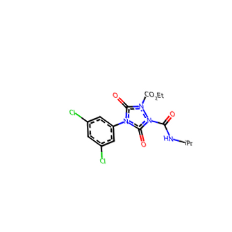 CCOC(=O)n1c(=O)n(-c2cc(Cl)cc(Cl)c2)c(=O)n1C(=O)NC(C)C